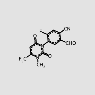 Cn1c(C(F)(F)F)cc(=O)n(-c2cc(C=O)c(C#N)cc2F)c1=O